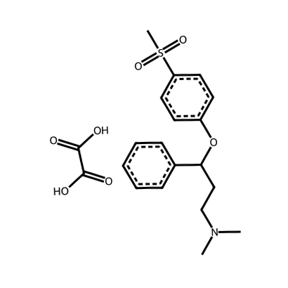 CN(C)CCC(Oc1ccc(S(C)(=O)=O)cc1)c1ccccc1.O=C(O)C(=O)O